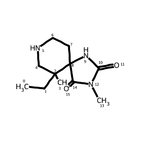 CCC1(C)CNCCC12NC(=O)N(C)C2=O